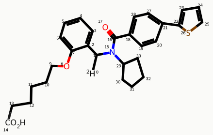 [2H]C(c1ccccc1OCCCCCC(=O)O)N(C(=O)c1ccc(-c2cccs2)cc1)C1CCCC1